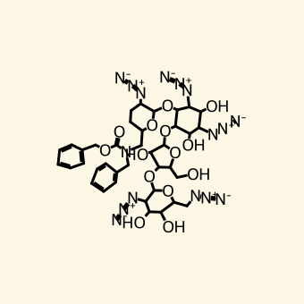 [N-]=[N+]=NCC1OC(OC2C(CO)OC(OC3C(O)C(N=[N+]=[N-])C(O)C(N=[N+]=[N-])C3OC3OC(CN(Cc4ccccc4)C(=O)OCc4ccccc4)CCC3N=[N+]=[N-])C2O)C(N=[N+]=[N-])C(O)C1O